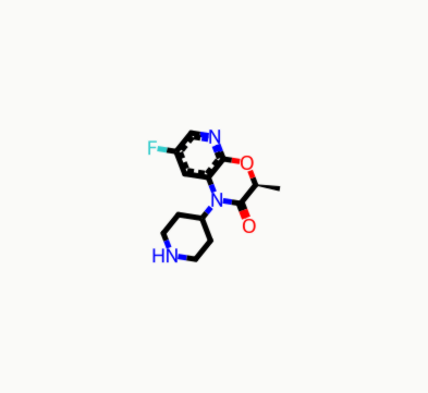 C[C@@H]1Oc2ncc(F)cc2N(C2CCNCC2)C1=O